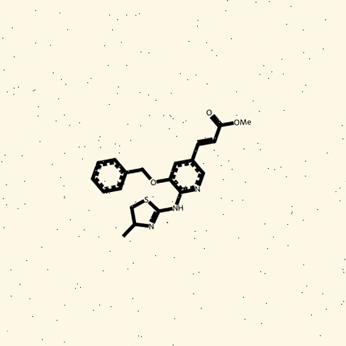 COC(=O)/C=C/c1cnc(NC2=NC(C)CS2)c(OCc2ccccc2)c1